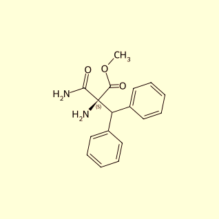 COC(=O)[C@@](N)(C(N)=O)C(c1ccccc1)c1ccccc1